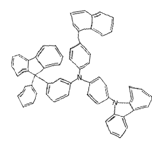 c1ccc(C2(c3cccc(N(c4ccc(-c5cccc6ccccc56)cc4)c4ccc(-n5c6ccccc6c6ccccc65)cc4)c3)c3ccccc3-c3ccccc32)cc1